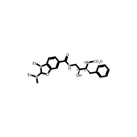 CCN(C)C1Oc2cc(C(=O)NC[C@H](O)[C@H](Cc3ccccc3)NC(=O)O)ccc2N1CC